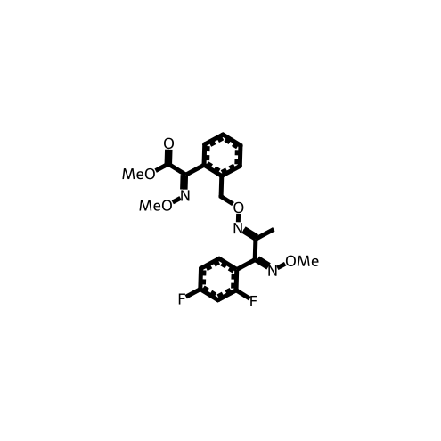 CO/N=C(\C(C)=N\OCc1ccccc1/C(=N/OC)C(=O)OC)c1ccc(F)cc1F